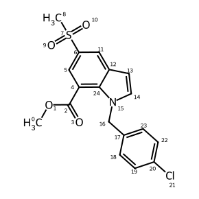 COC(=O)c1cc(S(C)(=O)=O)cc2ccn(Cc3ccc(Cl)cc3)c12